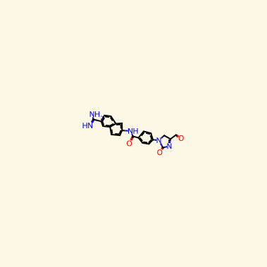 N=C(N)c1ccc2cc(NC(=O)c3ccc(N4CC(C=O)=NC4=O)cc3)ccc2c1